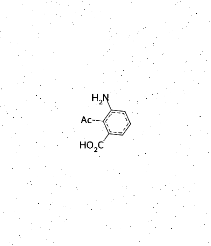 CC(=O)c1c(N)cccc1C(=O)O